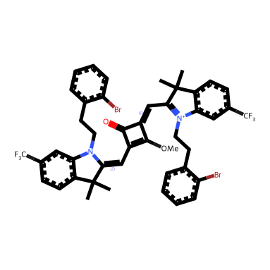 COC1=C(/C=C2\N(CCc3ccccc3Br)c3cc(C(F)(F)F)ccc3C2(C)C)C(=O)/C1=C/C1=[N+](CCc2ccccc2Br)c2cc(C(F)(F)F)ccc2C1(C)C